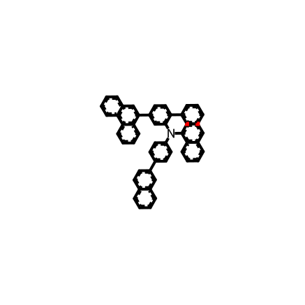 c1ccc(-c2ccc(-c3cc4ccccc4c4ccccc34)cc2N(c2ccc(-c3ccc4ccccc4c3)cc2)c2cccc3ccccc23)cc1